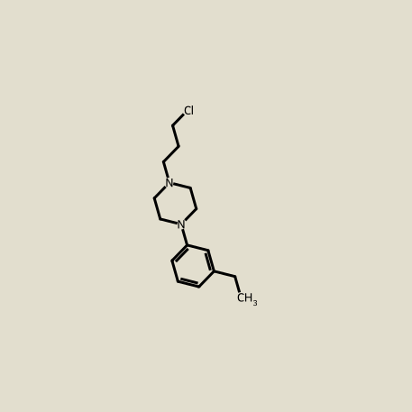 CCc1cccc(N2CCN(CCCCl)CC2)c1